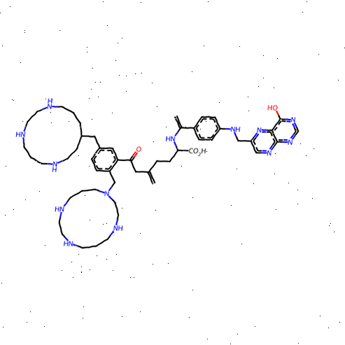 C=C(CCC(NC(=C)c1ccc(NCc2cnc3ncnc(O)c3n2)cc1)C(=O)O)CC(=O)c1cc(CC2CCCNCCNCCCNCC2)ccc1CN1CCCNCCNCCCNCC1